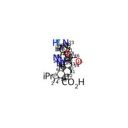 CC(C)[C@@H](C)[C@@]1(C)CC[C@]2(C)[C@H]3CC[C@@H]4[C@@]5(COC[C@@]4(C)[C@@H](OC[C@](C)(N)C(C)C)[C@H](n4ncnc4-c4cccc(F)c4)C5)C3=CC[C@@]2(C)[C@@H]1C(=O)O